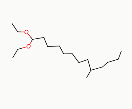 CCCCC(C)CCCCCCCC(OCC)OCC